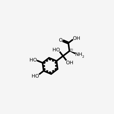 N[C@H](C(=O)O)C(O)(O)c1ccc(O)c(O)c1